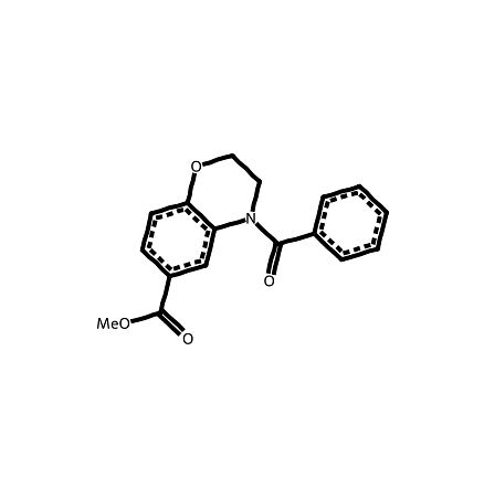 COC(=O)c1ccc2c(c1)N(C(=O)c1ccccc1)CCO2